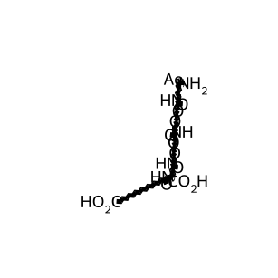 CC(=O)[C@@H](N)CCCCNC(=O)COCCOCCNC(=O)COCCOCCNC(=O)CC[C@H](NC(=O)CCCCCCCCCCCCCCC(=O)O)C(=O)O